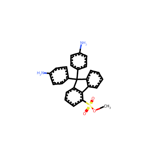 COS(=O)(=O)c1cccc2c1-c1ccccc1C2(c1ccc(N)cc1)c1ccc(N)cc1